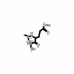 COC(=O)CCC(NB(C)O)C(=O)NC(C)(C)C